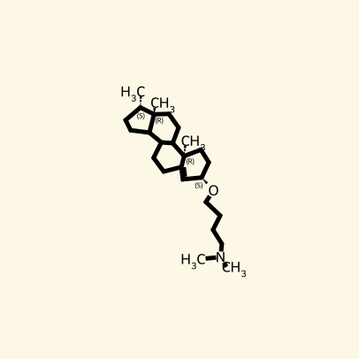 C[C@H]1CCC2C3CCC4=C[C@@H](OCCCCN(C)C)CC[C@]4(C)C3CC[C@@]21C